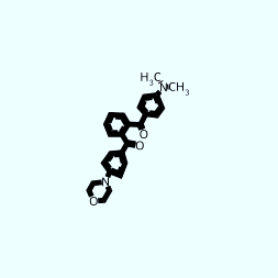 CN(C)c1ccc(C(=O)c2ccccc2C(=O)c2ccc(N3CCOCC3)cc2)cc1